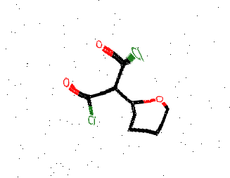 O=C(Cl)C(C(=O)Cl)C1CCCO1